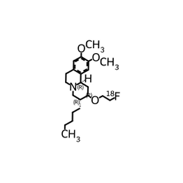 CCCCC[C@@H]1CN2CCc3cc(OC)c(OC)cc3[C@H]2C[C@H]1OCC[18F]